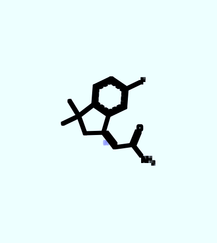 CC1(C)C/C(=C/C(N)=O)c2cc(F)ccc21